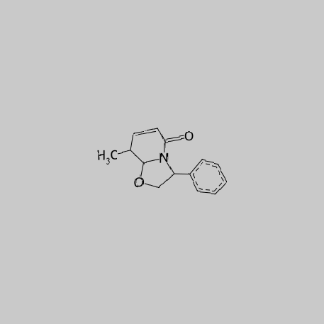 CC1C=CC(=O)N2C(c3ccccc3)COC12